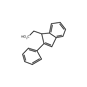 O=C(O)CC1C(c2ccccc2)=Cc2ccccc21